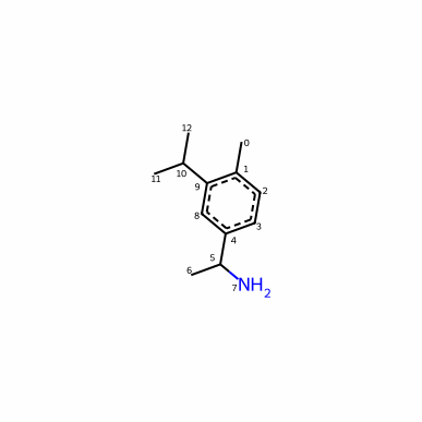 Cc1ccc(C(C)N)cc1C(C)C